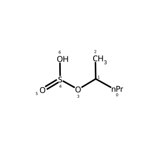 CCCC(C)OS(=O)O